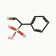 O=S(=O)(O)C(C=S)c1ccccc1